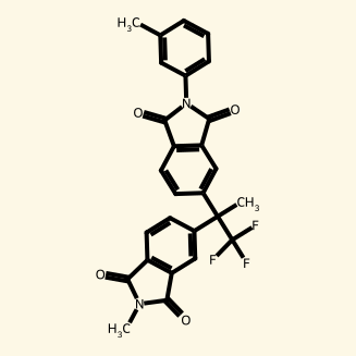 Cc1cccc(N2C(=O)c3ccc(C(C)(c4ccc5c(c4)C(=O)N(C)C5=O)C(F)(F)F)cc3C2=O)c1